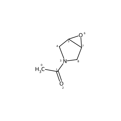 CC(=O)N1CC2OC2C1